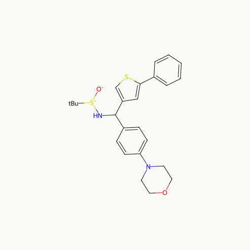 CC(C)(C)[S+]([O-])NC(c1ccc(N2CCOCC2)cc1)c1csc(-c2ccccc2)c1